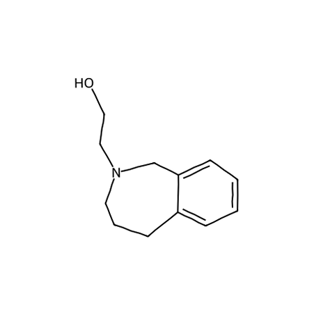 OCCN1CCCc2ccccc2C1